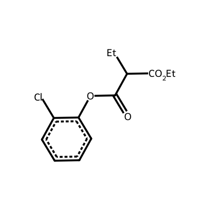 CCOC(=O)C(CC)C(=O)Oc1ccccc1Cl